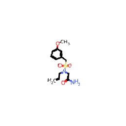 C=CCN(CC(N)=O)S(=O)(=O)Cc1cccc(OC)c1